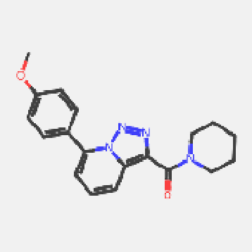 COc1ccc(-c2cccc3c(C(=O)N4CCCCC4)nnn23)cc1